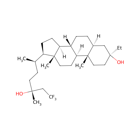 CC[C@]1(O)CC[C@@]2(C)[C@@H](CC[C@@H]3[C@@H]2CC[C@]2(C)[C@@H]([C@H](C)CC[C@@](C)(O)CC(F)(F)F)CC[C@@H]32)C1